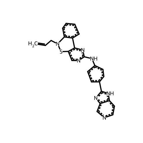 C=CCN1Sc2cnc(Nc3ccc(-c4nc5cnccc5[nH]4)cc3)nc2-c2ccccc21